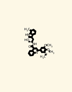 COc1cc(-c2cc(C(=O)N[C@@H](CO)Cc3c[nH]c4c(C)cccc34)c3ccccc3n2)cc(OC)c1OC